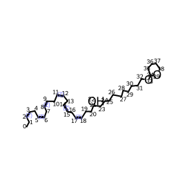 CC/C=C\C/C=C\C/C=C\C/C=C\C/C=C\C/C=C\CCC(O)CCCCCCCCCCOC1CCCCO1